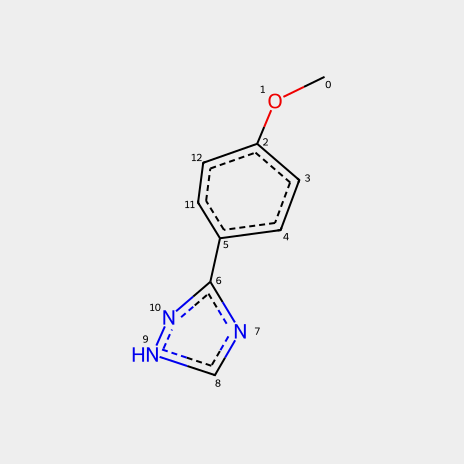 COc1ccc(-c2nc[nH]n2)cc1